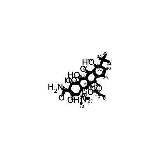 CCC(=O)O[C@@H]1[C@@H]2C(=C(O)[C@]3(O)C(=O)C(C(N)=O)=C(O)[C@@H](N(C)C)[C@@H]13)C(=O)c1c(ccc(C(C)(C)C)c1O)[C@H]2C